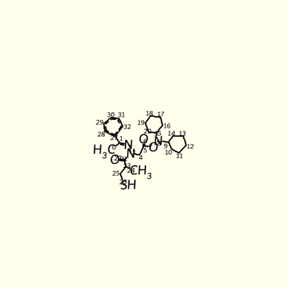 CC(=NN(CC(=O)ON(C1CCCCC1)C1CCCCC1)C(=O)C(C)CS)c1ccccc1